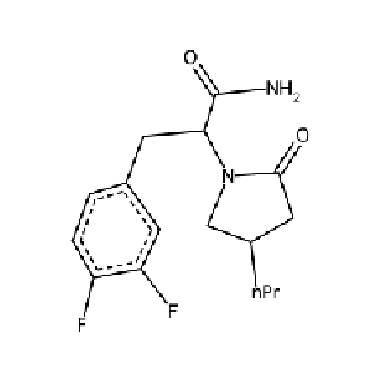 CCCC1CC(=O)N(C(Cc2ccc(F)c(F)c2)C(N)=O)C1